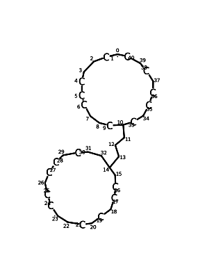 [CH]1CCCCCCCCCC(CCCC2CCCCCCCC[CH]CCCCCCCCC2)CCCCCCCC1